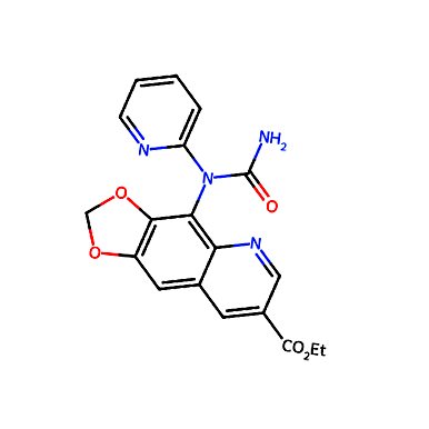 CCOC(=O)c1cnc2c(N(C(N)=O)c3ccccn3)c3c(cc2c1)OCO3